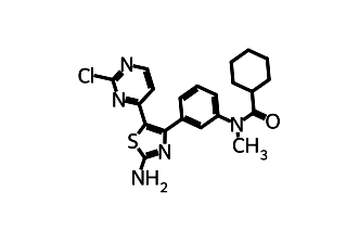 CN(C(=O)C1CCCCC1)c1cccc(-c2nc(N)sc2-c2ccnc(Cl)n2)c1